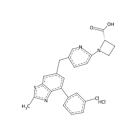 Cc1nc2c(-c3cccc(Cl)c3)cc(Cc3ccc(N4CC[C@H]4C(=O)O)nc3)cc2s1.Cl